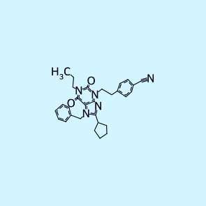 CCCn1c(=O)c2c(nc(C3CCCC3)n2Cc2ccccc2)n(CCc2ccc(C#N)cc2)c1=O